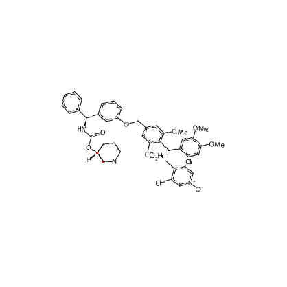 COc1ccc([C@H](Cc2c(Cl)c[n+]([O-])cc2Cl)c2c(OC)cc(COc3cccc([C@@H](NC(=O)O[C@H]4CN5CCC4CC5)c4ccccc4)c3)cc2C(=O)O)cc1OC